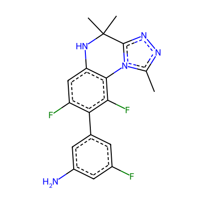 Cc1nnc2n1-c1c(cc(F)c(-c3cc(N)cc(F)c3)c1F)NC2(C)C